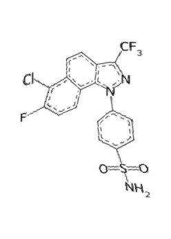 NS(=O)(=O)c1ccc(-n2nc(C(F)(F)F)c3ccc4c(Cl)c(F)ccc4c32)cc1